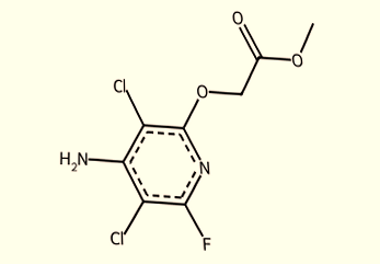 COC(=O)COc1nc(F)c(Cl)c(N)c1Cl